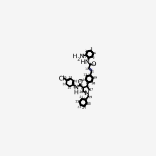 Nc1ccccc1NC(=O)/C=C/c1ccc(C2CN(Cc3ccccc3)CC2C(=O)NC2=CC=C(Cl)CC2)cc1